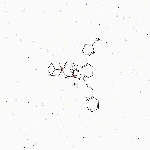 Cc1csc(-c2ccc(OCc3ccccc3)c3nc(N4CC5CC(C4)N5C(=O)OC(C)(C)C)oc23)n1